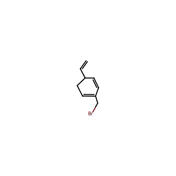 C=CC1C=CC(CBr)=CC1